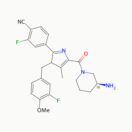 COc1ccc(CC2C(c3ccc(C#N)c(F)c3)=NC(C(=O)N3CCC[C@H](N)C3)=C2C)cc1F